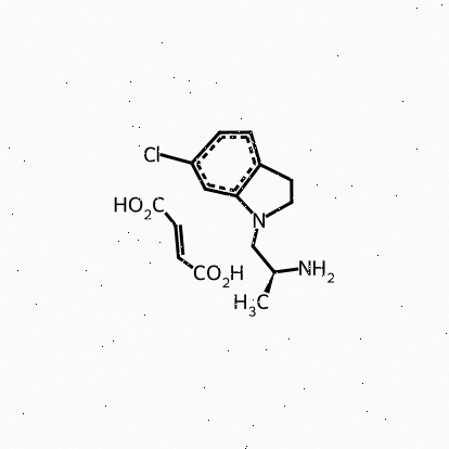 C[C@H](N)CN1CCc2ccc(Cl)cc21.O=C(O)/C=C/C(=O)O